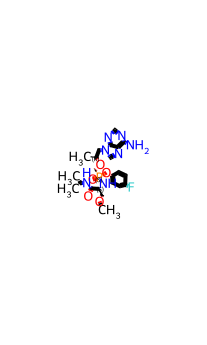 COC[C@H](N[P@](=O)(CO[C@H](C)Cn1cnc2c(N)ncnc21)Oc1ccc(F)cc1)C(=O)NC(C)C